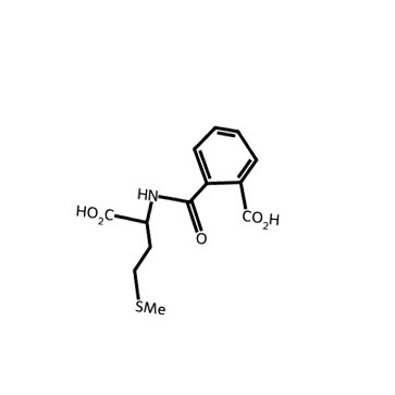 CSCCC(NC(=O)c1ccccc1C(=O)O)C(=O)O